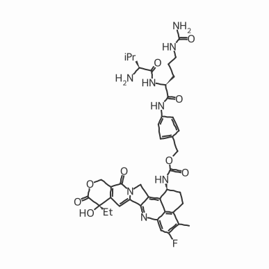 CC[C@@]1(O)C(=O)OCc2c1cc1n(c2=O)Cc2c-1nc1cc(F)c(C)c3c1c2[C@@H](NC(=O)OCc1ccc(NC(=O)[C@H](CCCNC(N)=O)NC(=O)[C@@H](N)C(C)C)cc1)CC3